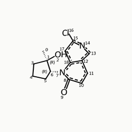 C[C@@]1(O)CCC[C@H]1n1c(=O)ccc2cnc(Cl)cc21